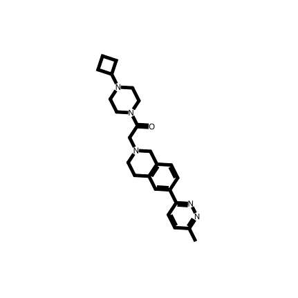 Cc1ccc(-c2ccc3c(c2)CCN(CC(=O)N2CCN(C4CCC4)CC2)C3)nn1